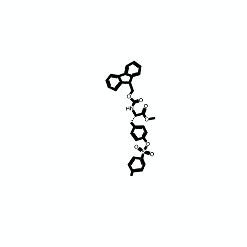 COC(=O)[C@H](Cc1ccc(OS(=O)(=O)c2ccc(C)cc2)cc1)NC(=O)OCC1c2ccccc2-c2ccccc21